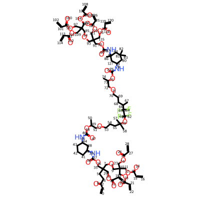 C=CC(=O)CCC(COCC(COC(=O)C=C)(COC(=O)C=C)COC(=O)C=C)(COC(=O)C=C)COC(=O)NC1CCCC(NC(=O)OC(C)COCCCC(C)(C)OC(F)(F)C(F)(F)C(C)CCCOCC(C)OC(=O)NC2CC(C)(C)CC(C)(NC(=O)OCC(COCC(COC(=O)C=C)(COC(=O)C=C)COC(=O)C=C)(COC(=O)C=C)COC(=O)C=C)C2)C1